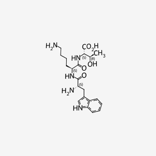 C[C@@H](O)[C@H](NC(=O)[C@H](CCCCN)NC(=O)[C@@H](N)Cc1c[nH]c2ccccc12)C(=O)O